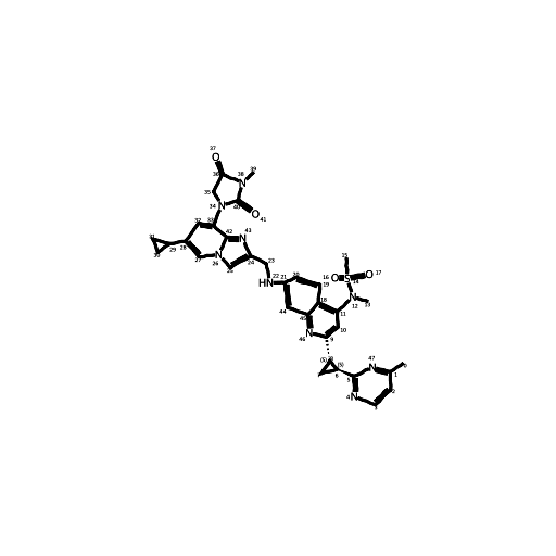 Cc1ccnc([C@H]2C[C@@H]2c2cc(N(C)S(C)(=O)=O)c3ccc(NCc4cn5cc(C6CC6)cc(N6CC(=O)N(C)C6=O)c5n4)cc3n2)n1